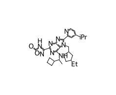 CCC1CCC(Cn2c(-c3cc(C(C)C)ccn3)nc3nc(-c4noc(=O)[nH]4)nc(NC(C)C4CCC4)c32)C1